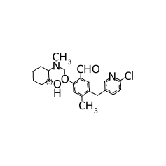 Cc1cc(OCN(C)C2CCCC[C@@H]2O)c(C=O)cc1Cc1ccc(Cl)nc1